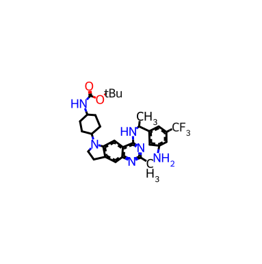 Cc1nc(NC(C)c2cc(N)cc(C(F)(F)F)c2)c2cc3c(cc2n1)CCN3C1CCC(NC(=O)OC(C)(C)C)CC1